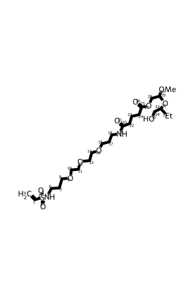 C=CS(=O)(=O)NCCCOCCOCCOCCCNC(=O)CCCC(=O)OCC(OC)OC(CC)CO